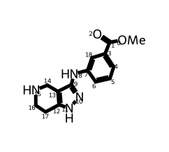 COC(=O)c1cccc(Nc2n[nH]c3c2CNCC3)c1